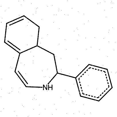 C1=CCC2CC(c3ccccc3)NC=CC2=C1